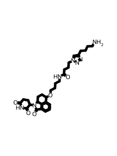 NCCCCc1cn(CCCC(=O)NCCCCOC2CCC3c4c(cccc42)C(=O)N3C2CCC(=O)NC2=O)nn1